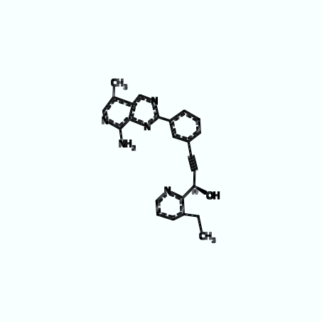 CCc1cccnc1[C@H](O)C#Cc1cccc(-c2ncc3c(C)cnc(N)c3n2)c1